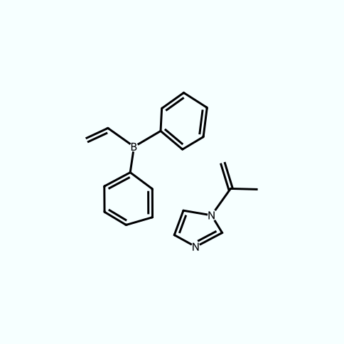 C=C(C)n1ccnc1.C=CB(c1ccccc1)c1ccccc1